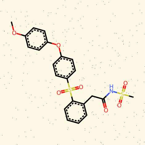 COc1ccc(Oc2ccc(S(=O)(=O)c3ccccc3CC(=O)NS(C)(=O)=O)cc2)cc1